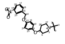 CC(C)(C)N1CCC(Oc2ccc(OCc3cccc([N+](=O)[O-])c3)cc2)CC1